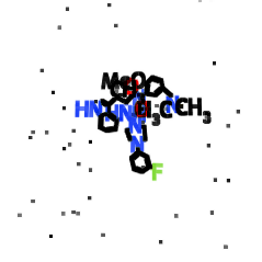 COc1ccc(CN(C)C)cc1NC(=O)[C@H](NC(=O)N1CCN(c2cccc(F)c2)CC1)[C@@H](C)c1c[nH]c2ccccc12